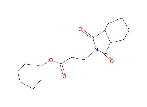 O=C(CCN1C(=O)C2CCCCC2C1=O)OC1CCCCC1